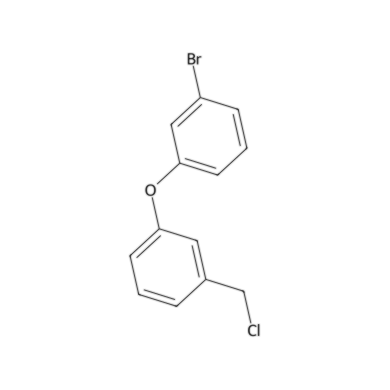 ClCc1cccc(Oc2cccc(Br)c2)c1